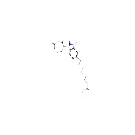 Cn1c(=O)n(C2CCCC(=O)NC2=O)c2ccc(CCCCCCCC(=O)OC(C)(C)C)cc21